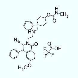 CNC(=O)O[C@H]1CC[C@@](CNCCn2c(C#N)c(-c3ccccc3)c3cc(OC)ccc3c2=O)(c2ccccc2)CC1.O=C(O)C(F)(F)F